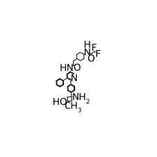 C[C@]1(O)C[C@@](N)(c2ccc(-c3ncc(NC(=O)CC4CCC(NC(=O)C(F)F)CC4)cc3-c3ccccc3)cc2)C1